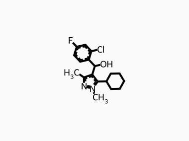 Cc1nn(C)c(C2CCCCC2)c1C(O)c1ccc(F)cc1Cl